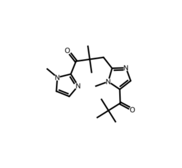 Cn1ccnc1C(=O)C(C)(C)Cc1ncc(C(=O)C(C)(C)C)n1C